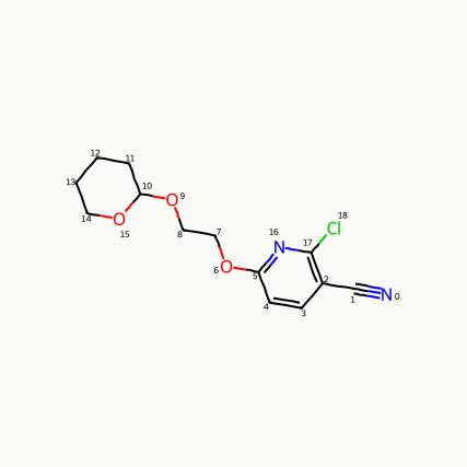 N#Cc1ccc(OCCOC2CCCCO2)nc1Cl